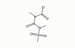 CN(C(=O)Cl)C(=O)N(C)S(C)(=O)=O